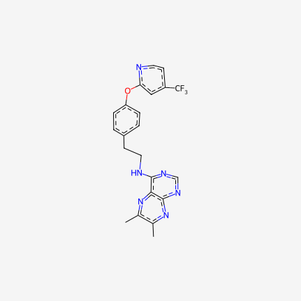 Cc1nc2ncnc(NCCc3ccc(Oc4cc(C(F)(F)F)ccn4)cc3)c2nc1C